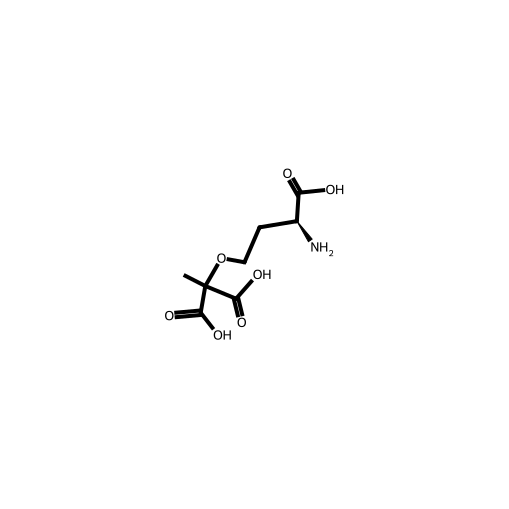 CC(OCC[C@H](N)C(=O)O)(C(=O)O)C(=O)O